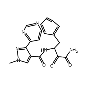 Cn1cc(C(=O)NC(Cc2ccccc2)C(=O)C(N)=O)c(-c2ccncn2)n1